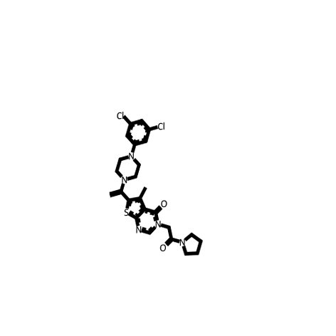 C=C(c1sc2ncn(CC(=O)N3CCCC3)c(=O)c2c1C)N1CCN(c2cc(Cl)cc(Cl)c2)CC1